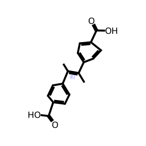 C/C(=C(/C)c1ccc(C(=O)O)cc1)c1ccc(C(=O)O)cc1